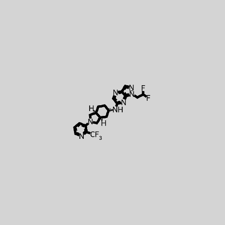 FC(F)Cn1ncc2ncc(N[C@@H]3CC[C@@H]4CN(c5cccnc5C(F)(F)F)C[C@@H]4C3)nc21